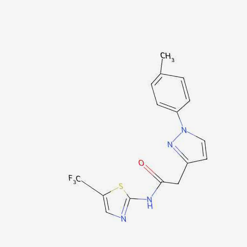 Cc1ccc(-n2ccc(CC(=O)Nc3ncc(C(F)(F)F)s3)n2)cc1